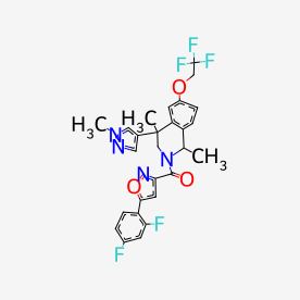 CC1c2ccc(OCC(F)(F)F)cc2C(C)(c2cnn(C)c2)CN1C(=O)c1cc(-c2ccc(F)cc2F)on1